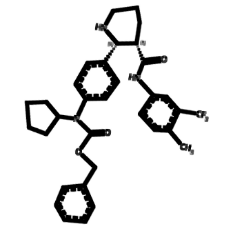 Cc1ccc(NC(=O)[C@H]2CCCN[C@H]2c2ccc(N(C(=O)OCc3ccccc3)C3CCCC3)cc2)cc1C(F)(F)F